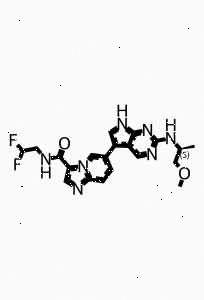 COC[C@H](C)Nc1ncc2c(-c3ccc4ncc(C(=O)NCC(F)F)n4c3)c[nH]c2n1